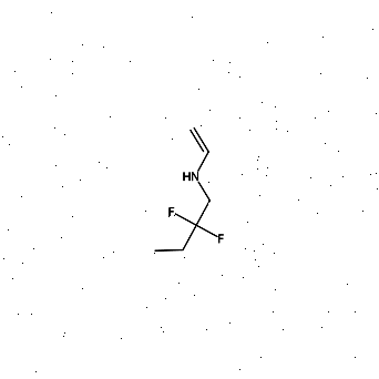 C=CNCC(F)(F)CC